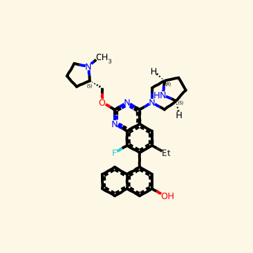 CCc1cc2c(N3C[C@H]4CC[C@@H](C3)N4)nc(OC[C@@H]3CCCN3C)nc2c(F)c1-c1cc(O)cc2ccccc12